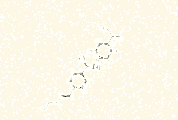 CCC/C=C/c1ccc(C(=O)Nc2ccc(C(C)C)cc2)cc1